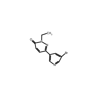 CCn1nc(-c2cncc(Br)c2)ccc1=O